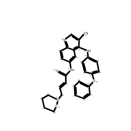 N#Cc1cnc2ccc(NC(=O)/C=C/CN3CCCCC3)cc2c1Nc1ccc(Oc2ccccc2)cc1